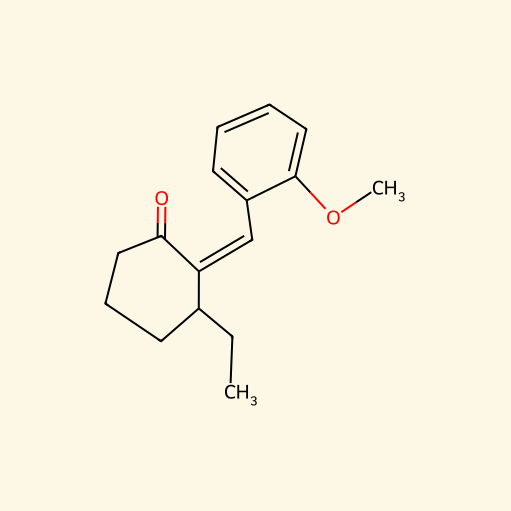 CCC1CCCC(=O)/C1=C\c1ccccc1OC